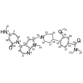 CNc1ccn(-c2ccnc3c2cc(CN2CCC(c4ccc(C(=O)N(C)C)cc4OC)CC2)n3C)c(=O)c1